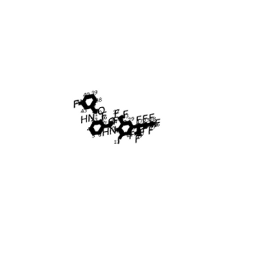 O=C(Nc1cccc(C(=O)Nc2c(I)cc(C(F)(C(F)(F)F)C(F)(F)C(F)(F)F)cc2C(F)(F)F)c1F)c1cccc(F)c1